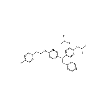 Fc1ccc(CCOc2ccc(C(Cc3ccncc3)c3ccc(OC(F)F)c(OC(F)F)c3)cn2)cc1